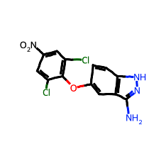 Nc1n[nH]c2ccc(Oc3c(Cl)cc([N+](=O)[O-])cc3Cl)cc12